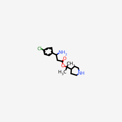 CC(C)(OC(=O)CC(N)c1ccc(Cl)cc1)C1CCNCC1